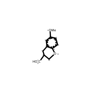 COc1ccc2c(c1)CC(C(=O)O)CO2